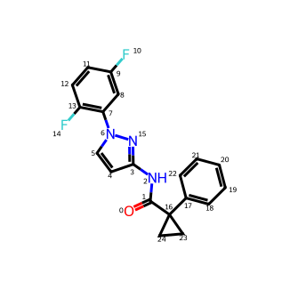 O=C(Nc1ccn(-c2cc(F)ccc2F)n1)C1(c2ccccc2)CC1